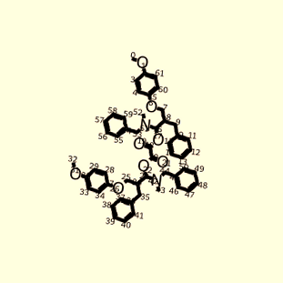 COc1ccc(OCC(Cc2ccccc2)C(OC(=O)C(=O)OC(C(COc2ccc(OC)cc2)Cc2ccccc2)N(C)Cc2ccccc2)N(C)Cc2ccccc2)cc1